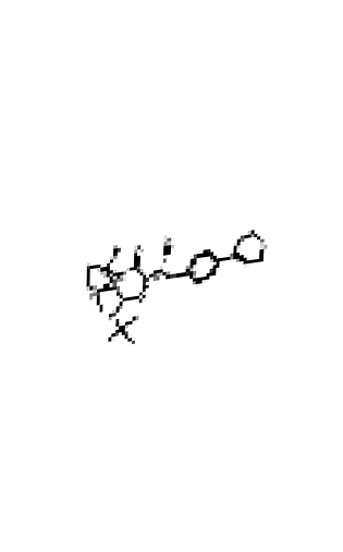 CC(C)(C)OC(=O)N1[C@@H]2CC[C@@H](C2)[C@H]1C(=O)N[C@H](C#N)Cc1ccc(C2=CCOCC2)cc1